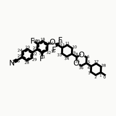 CC1CCC(C2COC(C3CCC(C(F)(F)Oc4cc(F)c(-c5ccc(C#N)cc5)c(F)c4)CC3)OC2)CC1